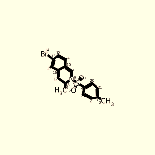 Cc1ccc(S(=O)(=O)N2C=c3ccc(Br)cc3=CC2C)cc1